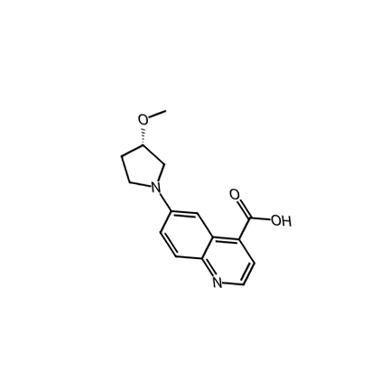 CO[C@H]1CCN(c2ccc3nccc(C(=O)O)c3c2)C1